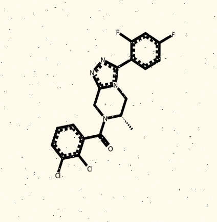 C[C@H]1Cn2c(nnc2-c2ccc(F)cc2F)CN1C(=O)c1cccc(Cl)c1Cl